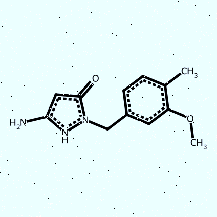 COc1cc(Cn2[nH]c(N)cc2=O)ccc1C